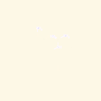 N=C(N)NC(=CC(=O)ON)C(C(=O)c1ccccc1)c1ccccc1